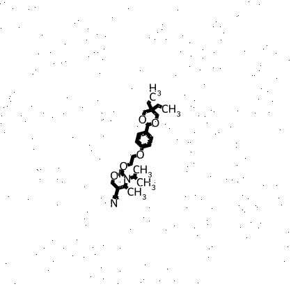 CCC1(CC)COC(c2ccc(OCCOP3OCC(C#N)C(C)N3C(C)C)cc2)OC1